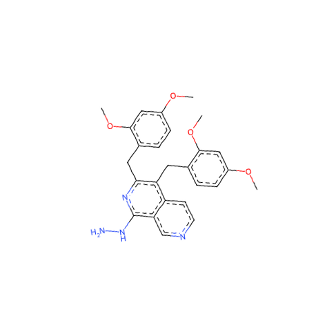 COc1ccc(Cc2nc(NN)c3cnccc3c2Cc2ccc(OC)cc2OC)c(OC)c1